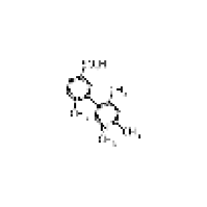 Cc1ccc(S(=O)(=O)O)cc1-c1c[n+](C)c(C)cc1C